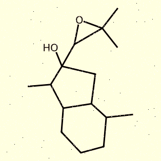 CC1CCCC2C1CC(O)(C1OC1(C)C)C2C